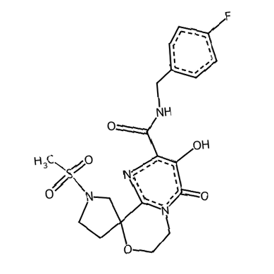 CS(=O)(=O)N1CCC2(C1)OCCn1c2nc(C(=O)NCc2ccc(F)cc2)c(O)c1=O